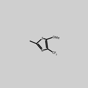 COc1sc(C)nc1C(F)(F)F